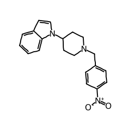 O=[N+]([O-])c1ccc(CN2CCC(n3ccc4ccccc43)CC2)cc1